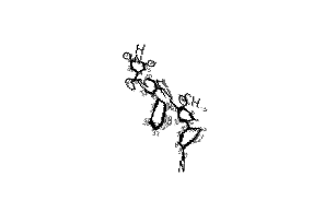 COc1ccc(-c2ccc(C#N)cc2)cc1CN[C@H]1CCN(C(=O)C2CC(=O)NC(=O)C2)C[C@H]1c1ccccc1